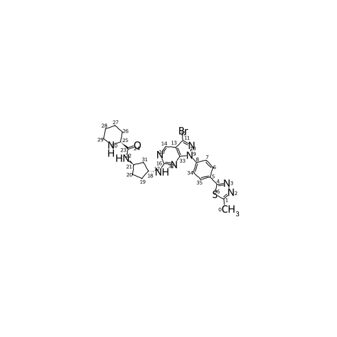 Cc1nnc(-c2ccc(-n3nc(Br)c4cnc(N[C@@H]5CC[C@@H](NC(=O)[C@@H]6CCCCN6)C5)nc43)cc2)s1